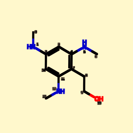 CNc1cc(NC)c(CCO)c(NC)c1